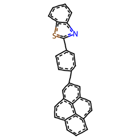 c1cc2ccc3cc(-c4ccc(-c5nc6ccccc6s5)cc4)cc4ccc(c1)c2c34